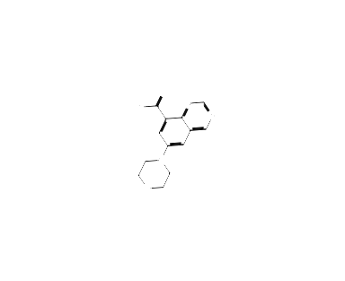 NC(=O)c1cc(N2CCOCC2)cc2cncnc12